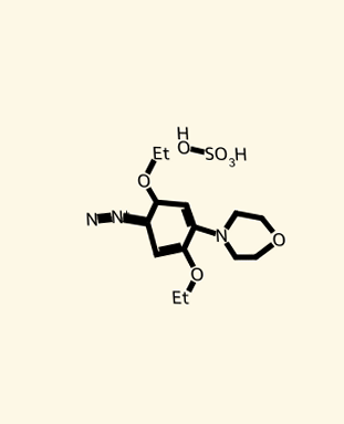 CCOC1=CC(=[N+]=[N-])C(OCC)C=C1N1CCOCC1.O=S(=O)(O)O